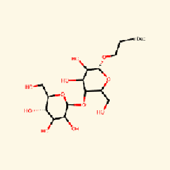 CCCCCCCCCCCCO[C@@H]1OC(CO)C(O[C@@H]2OC(CO)[C@@H](O)C(O)C2O)C(O)C1O